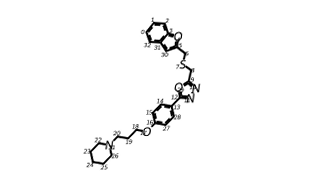 c1ccc2oc(CSCc3nnc(-c4ccc(OCCCN5CCCCC5)cc4)o3)cc2c1